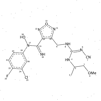 COCC(C)N/C(=N\C#N)NCc1nonc1C(=N)N(O)c1ccc(F)c(Cl)c1